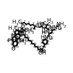 C=CC(CCCCCCC)OCC(=O)NC(C(=O)NC(CCCNC(N)=O)C(=O)Nc1ccc(COP(=O)(O)CCCCCCCCCCSC(=O)[C@@]2(OC(=O)CC)[C@H](C)C[C@H]3[C@@H]4C[C@H](F)C5=CC(=O)C=C[C@]5(C)[C@@]4(F)[C@@H](O)C[C@@]32C)cc1)C(C)C